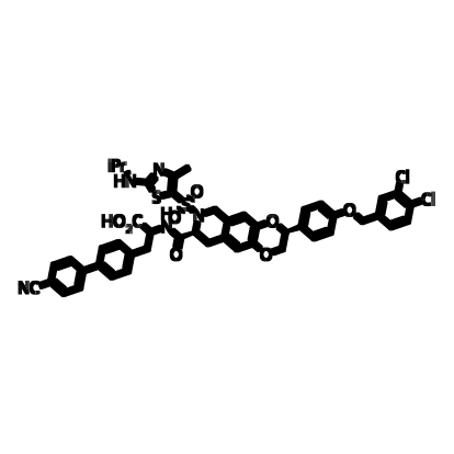 Cc1nc(NC(C)C)sc1S(=O)(=O)N1Cc2cc3c(cc2C[C@H]1C(=O)NC(Cc1ccc(-c2ccc(C#N)cc2)cc1)C(=O)O)OC[C@H](c1ccc(OCc2ccc(Cl)c(Cl)c2)cc1)O3